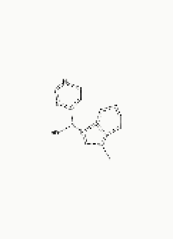 CCCN(c1ccncn1)n1cc(C)c2ccccc21